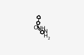 Nc1cccc(CNC(=O)c2ccc(-c3ccccc3)cc2)c1